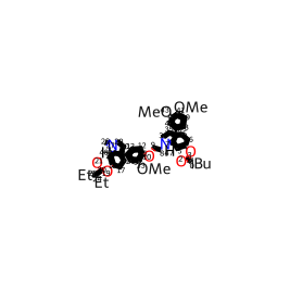 CCC(C)C(=O)OC1=C[C@@H]2N(CCOc3ccc([C@@]45CCC(OC(=O)C(CC)CC)=C[C@@H]4N(C)CC5)cc3OC)CC[C@]2(c2ccc(OC)c(OC)c2)CC1